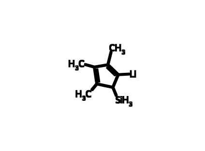 [Li][C]1=C(C)C(C)=C(C)C1[SiH3]